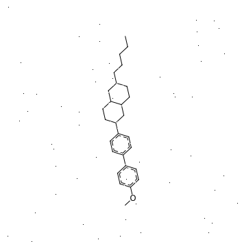 CCCCCC1CCC2CC(c3ccc(-c4ccc(OC)cc4)cc3)CCC2C1